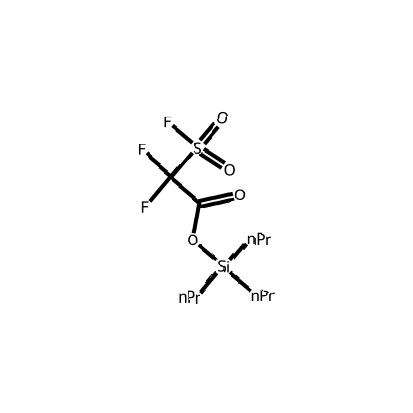 CCC[Si](CCC)(CCC)OC(=O)C(F)(F)S(=O)(=O)F